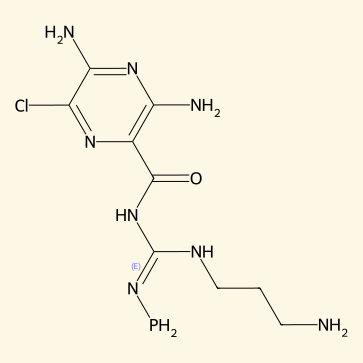 NCCCN/C(=N\P)NC(=O)c1nc(Cl)c(N)nc1N